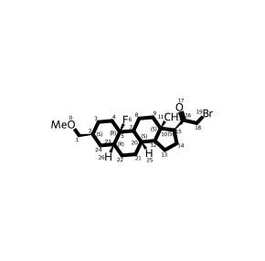 COC[C@H]1CC[C@]2(F)C3CC[C@@]4(C)C(CC[C@@H]4C(=O)CBr)[C@@H]3CC[C@@H]2C1